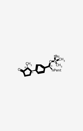 CCCCC[C@H](O[Si](C)(C)C(C)(C)C)c1ccc([C@H]2CCC(=O)[C@@H]2C)cc1